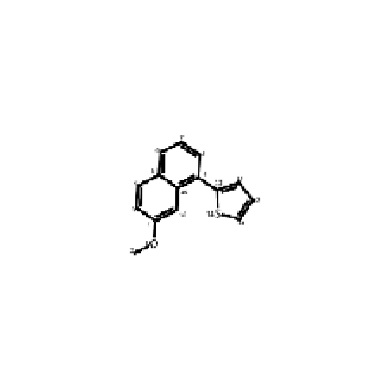 COc1ccc2cccc(-c3cccs3)c2c1